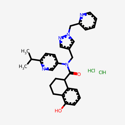 CC(C)c1ccc(N(Cc2cnn(Cc3ccccn3)c2)C(=O)C2CCCc3c(O)cccc32)cn1.Cl.Cl